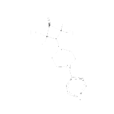 CC1(C)C(=O)C(C)(C)C1N1CCN(c2ccncc2)CC1